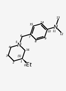 CC[C@H]1CCCN(Cc2ccc(N(C)C)cc2)C1